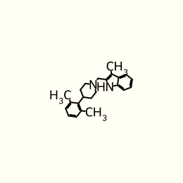 Cc1cccc(C)c1C1CCN(Cc2[nH]c3ccccc3c2C)CC1